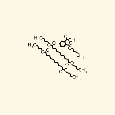 CCCCOC(=O)CCCCCCCCC(=O)OCCCC.CCCCOC(=O)CCCCCCCCC(=O)OCCCC.CCCCOC(=O)c1ccccc1C(=O)O